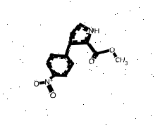 COC(=O)c1[nH]ccc1-c1ccc([N+](=O)[O-])cc1